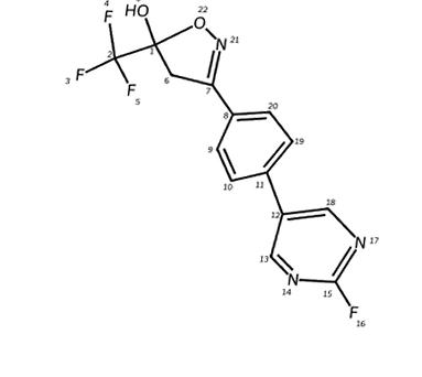 OC1(C(F)(F)F)CC(c2ccc(-c3cnc(F)nc3)cc2)=NO1